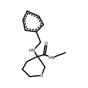 CNC(=O)C1(NCc2ccccc2)CCCOC1